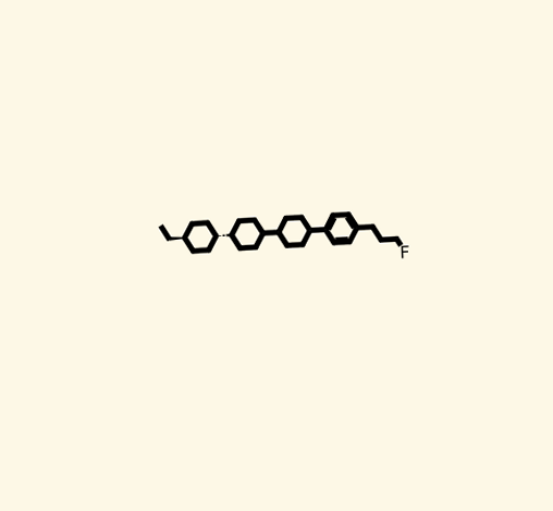 CC[C@H]1CC[C@H](C2CCC(C3CCC(c4ccc(CCCF)cc4)CC3)CC2)CC1